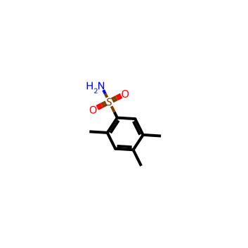 Cc1cc(C)c(S(N)(=O)=O)cc1C